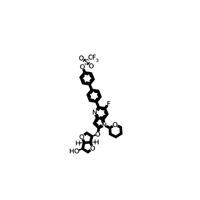 O=S(=O)(Oc1ccc(-c2ccc(-c3nc4cc(O[C@@H]5CO[C@H]6[C@@H]5OC[C@H]6O)n(C5CCCCO5)c4cc3F)cc2)cc1)C(F)(F)F